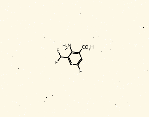 Nc1c(C(=O)O)cc(F)cc1C(F)F